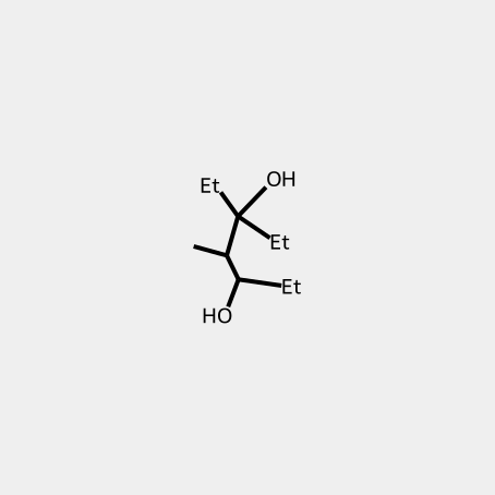 CCC(O)C(C)C(O)(CC)CC